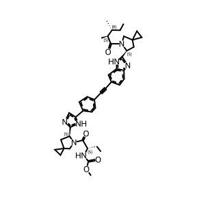 CC[C@H](NC(=O)OC)C(=O)N1CC2(CC2)C[C@H]1c1ncc(-c2ccc(C#Cc3ccc4nc([C@@H]5CC6(CC6)CN5C(=O)[C@@H](C)[C@H](C)CC)[nH]c4c3)cc2)[nH]1